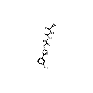 O=C(Cn1nnc(-c2cccc(C(F)(F)F)c2)n1)NNC(=S)NC(=O)C1CC1